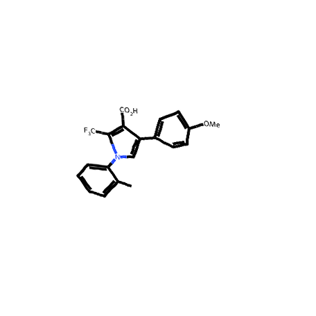 COc1ccc(-c2cn(-c3ccccc3C)c(C(F)(F)F)c2C(=O)O)cc1